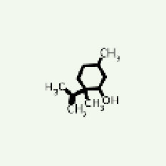 C=C(C)C1(C)CCC(C)CC1O